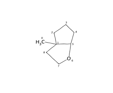 CC12CCCC1OCC2